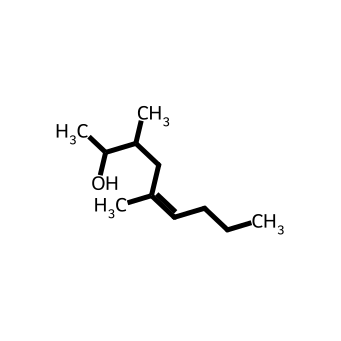 CCCC=C(C)CC(C)C(C)O